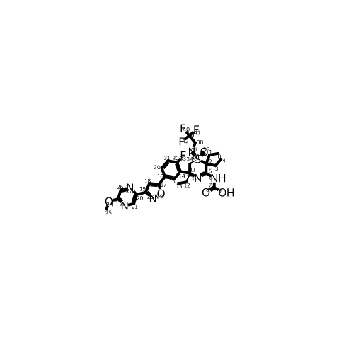 CCC1(CC)C(NC(=O)O)=N[C@](CC)(c2cc(-c3cc(-c4cnc(OC)cn4)no3)ccc2F)C[S@]1(=O)=NCC(F)(F)F